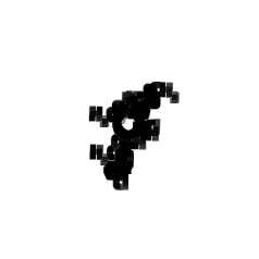 COC(=O)Nc1ccc2c(c1)NC(=O)[C@H](C)CCC[C@H](NC(=O)c1cnn(-c3cccc(Cl)c3F)c1C)c1nc-2c(Cl)[nH]1